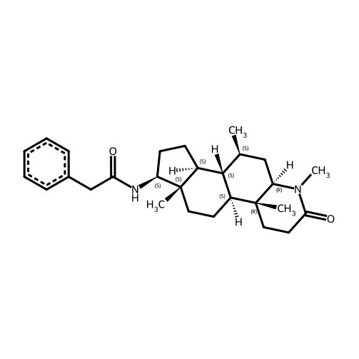 C[C@H]1C[C@H]2N(C)C(=O)CC[C@]2(C)[C@H]2CC[C@]3(C)[C@@H](NC(=O)Cc4ccccc4)CC[C@H]3[C@H]12